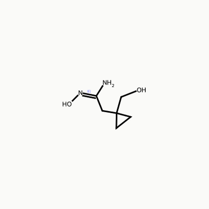 N/C(CC1(CO)CC1)=N/O